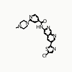 CN1CCN(c2cc(C(=O)Nc3cc4cc(-c5ncc(Cl)s5)cnc4cn3)ccn2)CC1